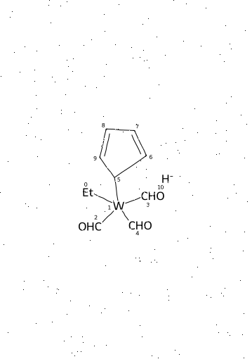 C[CH2][W]([CH]=O)([CH]=O)([CH]=O)[CH]1C=CC=C1.[H-]